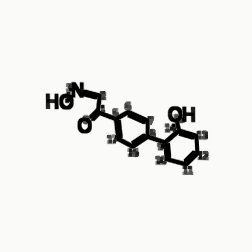 O=C(/C=N\O)c1ccc(-c2ccccc2O)cc1